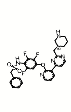 O=S(=O)(Cc1ccccc1)Nc1c(F)cc(Oc2ncccc2-c2ccnc(C[C@@H]3CCCNC3)n2)c(F)c1F